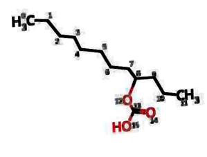 CCCCCCCCC(CCC)OC(=O)O